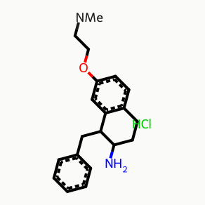 CNCCOc1ccc2c(c1)C(Cc1ccccc1)C(N)CC2.Cl